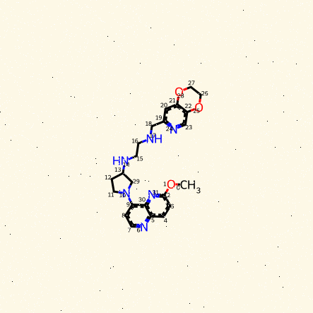 COc1ccc2nccc(N3CCC(NCCNCc4cc5c(cn4)OCCO5)C3)c2n1